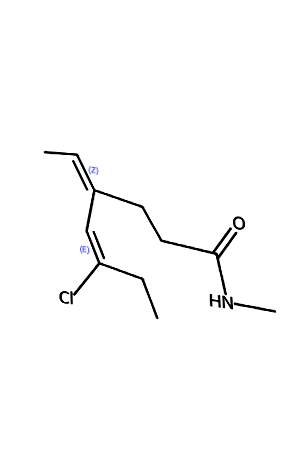 C/C=C(\C=C(\Cl)CC)CCC(=O)NC